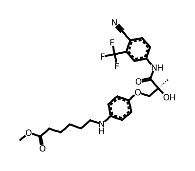 COC(=O)CCCCCNc1ccc(OC[C@](C)(O)C(=O)Nc2ccc(C#N)c(C(F)(F)F)c2)cc1